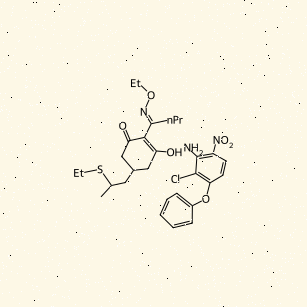 CCCC(=NOCC)C1=C(O)CC(CC(C)SCC)CC1=O.Nc1c([N+](=O)[O-])ccc(Oc2ccccc2)c1Cl